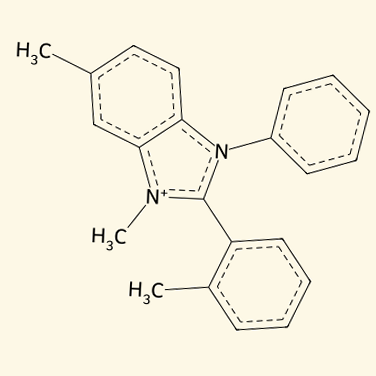 Cc1ccc2c(c1)[n+](C)c(-c1ccccc1C)n2-c1ccccc1